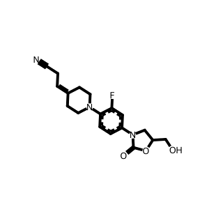 N#CCC=C1CCN(c2ccc(N3CC(CO)OC3=O)cc2F)CC1